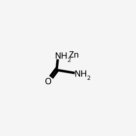 NC(N)=O.[Zn]